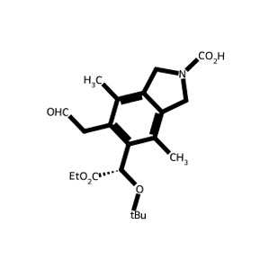 CCOC(=O)[C@@H](OC(C)(C)C)c1c(C)c2c(c(C)c1CC=O)CN(C(=O)O)C2